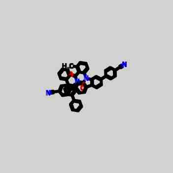 Cc1cccc(-n2c3cc(-c4ccc(C#N)cc4)ccc3c3ccc(-c4ccc(C#N)cc4)cc32)c1C(=O)N(C=O)c1cc(-c2ccccc2)ccc1-c1ccccc1